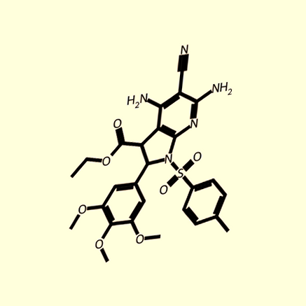 CCOC(=O)C1c2c(nc(N)c(C#N)c2N)N(S(=O)(=O)c2ccc(C)cc2)C1c1cc(OC)c(OC)c(OC)c1